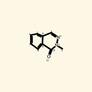 Cn1ncc2ccccc2c1=O